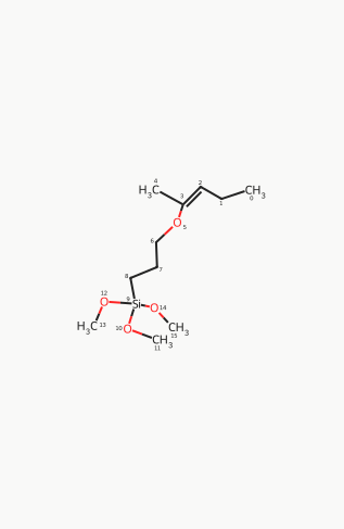 CCC=C(C)OCCC[Si](OC)(OC)OC